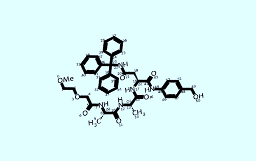 COCCOCC(=O)N[C@@H](C)C(=O)N[C@@H](C)C(=O)N[C@@H](CC(=O)NC(c1ccccc1)(c1ccccc1)c1ccccc1)C(=O)Nc1ccc(CO)cc1